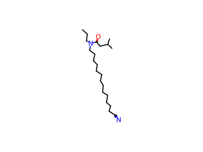 CCCN(CCCCCCCCCCCCCC#N)C(=O)CC(C)C